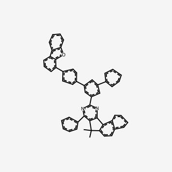 CC1(C)c2ccc3ccccc3c2-c2nc(-c3cc(-c4ccccc4)cc(-c4ccc(-c5cccc6c5oc5ccccc56)cc4)c3)nc(-c3ccccc3)c21